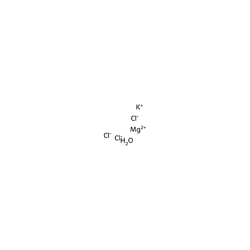 O.[Cl-].[Cl-].[Cl-].[K+].[Mg+2]